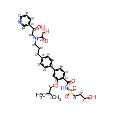 CC(C)COc1cc(-c2ccc(CCCN(C[C@H](O)c3cccnc3)C(=O)O)cc2)ccc1C(=O)NS(=O)(=O)CCCO